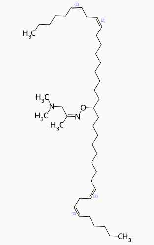 CCCCC/C=C\C/C=C\CCCCCCCCC(CCCCCCCC/C=C\C/C=C\CCCCC)ON=C(C)CN(C)C